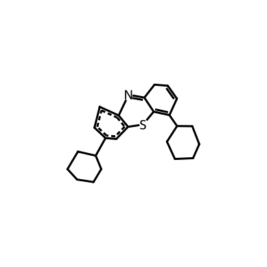 C1=CC(C2CCCCC2)=C2Sc3cc(C4CCCCC4)ccc3N=C2C1